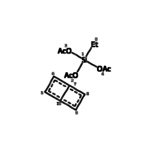 CC[Si](OC(C)=O)(OC(C)=O)OC(C)=O.c1cc2ccc1-2